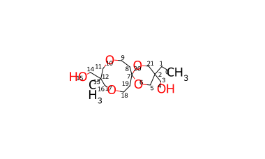 CCC1(CO)COC2(CCOCC(C)(CO)COCC2)OC1